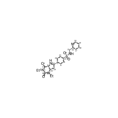 CCn1c(=O)c2[nH]c(-c3ccc(S(=O)(=O)NCc4ccccn4)cc3)cc2n(CC)c1=O